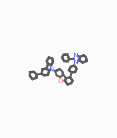 C1=C2c3c(cccc3-c3ccc(-n4c(-c5ccccc5)nc5ccccc54)cc3)OC2CC(n2c3ccccc3c3cc(-c4ccccc4)ccc32)=C1